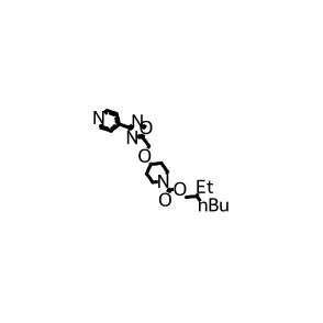 CCCCC(CC)COC(=O)N1CCC(OCc2nc(-c3ccncc3)no2)CC1